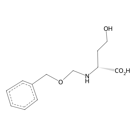 O=C(O)[C@@H](CCO)NCOCc1ccccc1